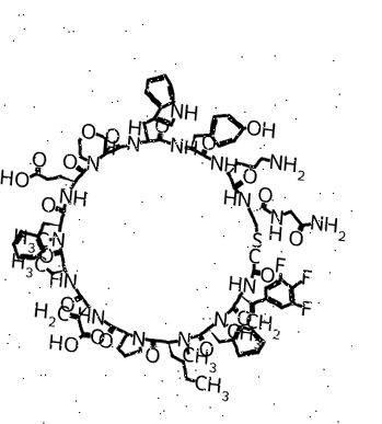 C=C(C(=O)O)[C@@H]1NC(=O)C2CCCN2C(=O)[C@H](CCCC)N(C)C(=O)[C@H](Cc2ccccc2)N(C)C(=O)[C@H](C(=C)c2cc(F)c(F)c(F)c2)NC(=O)CSC[C@@H](C(=O)NCC(N)=O)NC(=O)[C@H](CCCN)NC(=O)[C@H](Cc2ccc(O)cc2)NC(=O)C(Cc2c[nH]c3ccccc23)NC(=O)[C@H]2COCCN2C(=O)[C@H](CCC(=O)O)NC(=O)[C@H](Cc2ccccc2)N(C)C(=O)[C@H](CC)NC1=O